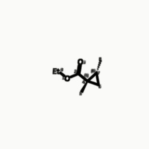 CCOC(=O)[C@@]1(C)C[C@H]1C